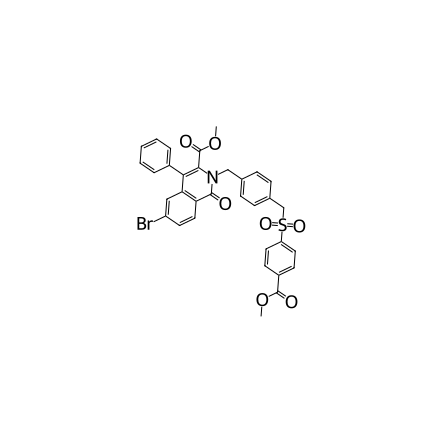 COC(=O)c1ccc(S(=O)(=O)Cc2ccc(Cn3c(C(=O)OC)c(-c4ccccc4)c4cc(Br)ccc4c3=O)cc2)cc1